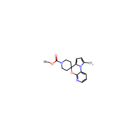 CC(C)(C)OC(=O)N1CCC2(CC1)Oc1ncccc1-n1c(C(F)(F)F)ccc12